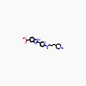 COC(=O)c1ccc2[nH]c(-c3ccc(N(C)CCCC4CCN(C)CC4)nc3)nc2c1